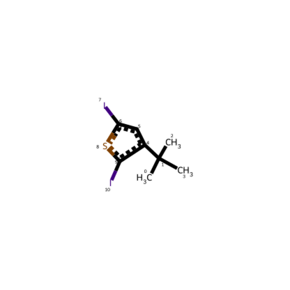 CC(C)(C)c1cc(I)sc1I